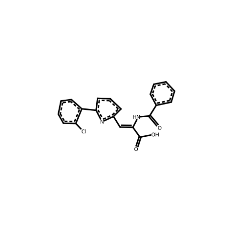 O=C(O)/C(=C/c1cccc(-c2ccccc2Cl)n1)NC(=O)c1ccccc1